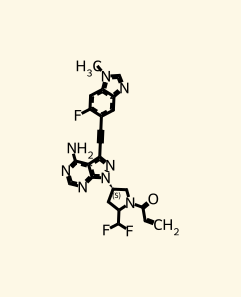 C=CC(=O)N1C[C@@H](n2nc(C#Cc3cc4ncn(C)c4cc3F)c3c(N)ncnc32)CC1C(F)F